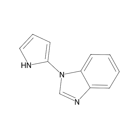 c1c[nH]c(-n2cnc3ccccc32)c1